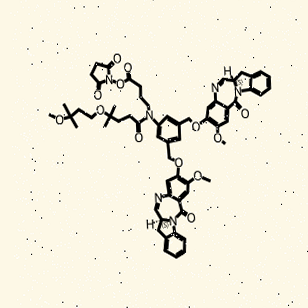 COc1cc2c(cc1OCc1cc(COc3cc4c(cc3OC)C(=O)N3c5ccccc5C[C@H]3C=N4)cc(N(CCCC(=O)ON3C(=O)CCC3=O)C(=O)CCC(C)(C)OCCC(C)(C)OC)c1)N=C[C@@H]1Cc3ccccc3N1C2=O